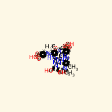 CCN(CC)c1cc(Nc2nc(Nc3cc(N(CC)CC)c(OC)cc3/N=N/c3ccc(S(=O)(=O)O)cc3)nc(N(CCO)CCO)n2)c(/N=N/c2ccc(S(=O)(=O)O)cc2)cc1C